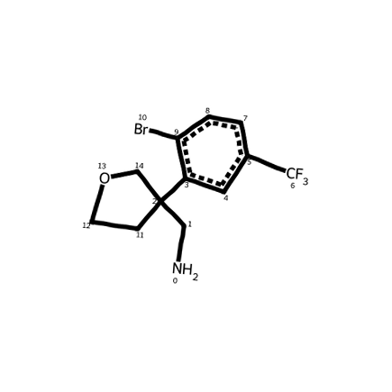 NCC1(c2cc(C(F)(F)F)ccc2Br)CCOC1